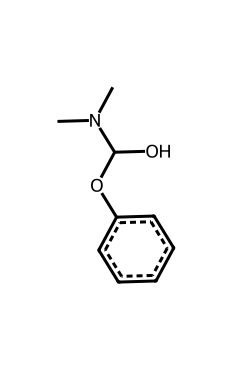 CN(C)C(O)Oc1ccccc1